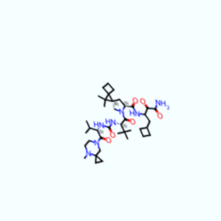 CC(C)[C@H](NC(=O)N[C@H](C(=O)N1C[C@]2(C[C@H]1C(=O)NC(CC1CCC1)C(=O)C(N)=O)C(C)(C)C21CCC1)C(C)(C)C)C(=O)N1CCN(C)C2(CC2)C1